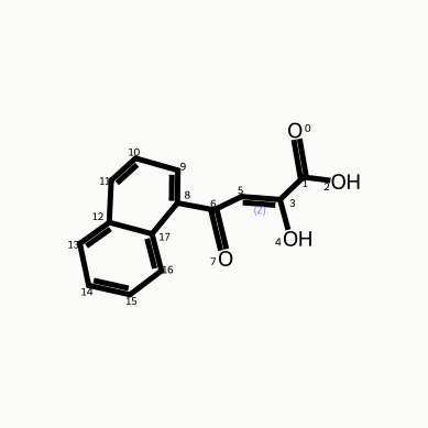 O=C(O)/C(O)=C/C(=O)c1cccc2ccccc12